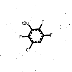 CC(C)(C)c1c(F)c(F)cc(Cl)c1F